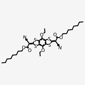 CCCCCCCCOC(=O)C(C#N)=C1Sc2c(OCC)c3c(c(OCC)c2S1)SC(=C(C#N)C(=O)OCCCCCCCC)S3